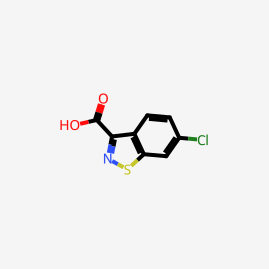 O=C(O)c1nsc2cc(Cl)ccc12